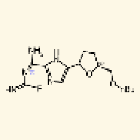 CCCCOC[C@@H]1CCC(c2cnc(/C(N)=N\C(=N)F)[nH]2)O1